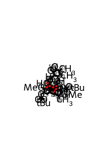 COc1cc2c(cc1OC(=O)OC(C)(C)C)CCN[C@]21CS[C@@H]2c3c(C)c(C)c4c(c3[C@H](COC1=O)N1C2[C@@H]2c3c(cc(C)c(OC)c3OC(=O)OC(C)(C)C)C[C@H]([C@@H]1O)N2C)OCO4